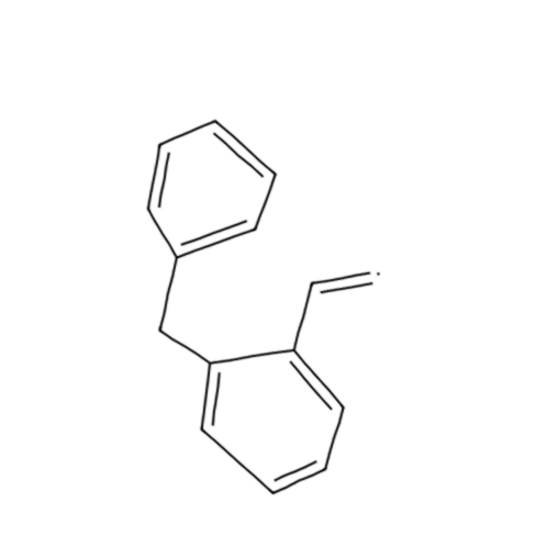 [CH]=Cc1ccccc1Cc1ccccc1